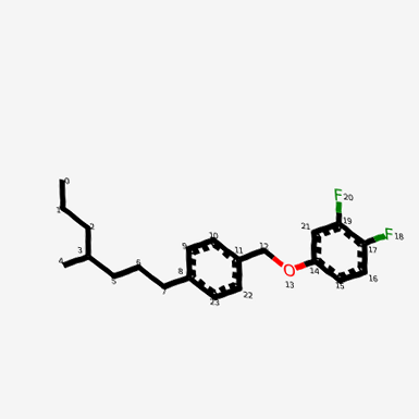 CCCC(C)CCCc1ccc(COc2ccc(F)c(F)c2)cc1